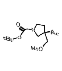 COCC1(C(C)=O)CCN(C(=O)OC(C)(C)C)C1